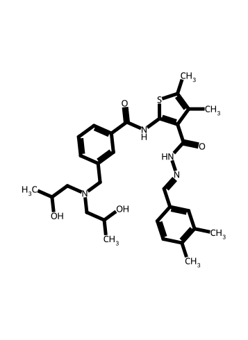 Cc1ccc(C=NNC(=O)c2c(NC(=O)c3cccc(CN(CC(C)O)CC(C)O)c3)sc(C)c2C)cc1C